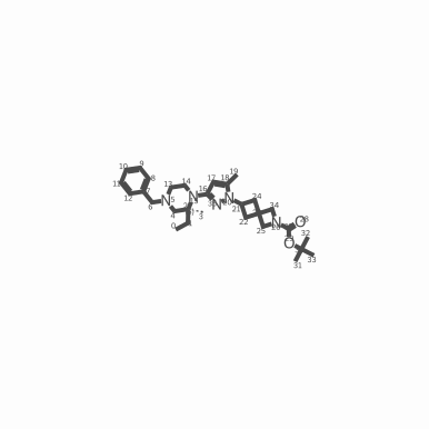 CC[C@@]1(C)CN(Cc2ccccc2)CCN1c1cc(C)n(C2CC3(C2)CN(C(=O)OC(C)(C)C)C3)n1